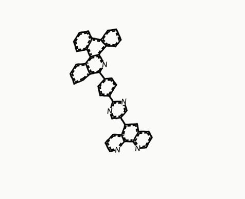 c1cnc2c(c1)cc(-c1cnc(-c3ccc(-c4nc5c6ccccc6c6ccccc6c5c5ccccc45)cc3)nc1)c1cccnc12